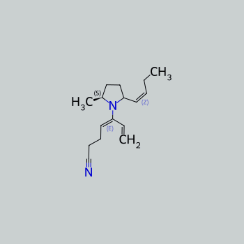 C=C/C(=C\CCC#N)N1C(/C=C\CC)CC[C@@H]1C